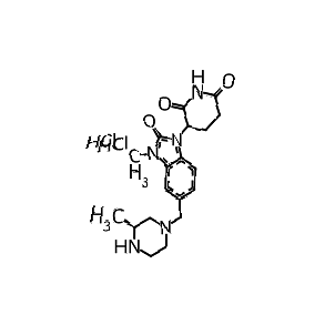 C[C@H]1CN(Cc2ccc3c(c2)n(C)c(=O)n3C2CCC(=O)NC2=O)CCN1.Cl.Cl